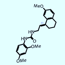 COc1ccc(NC(=O)NC/C=C2\CCCc3ccc(OC)cc32)c(OC)c1